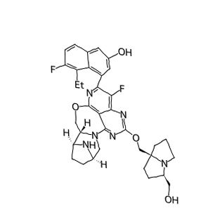 CCc1c(F)ccc2cc(O)cc(-c3nc4c5c(nc(OC[C@@]67CCCN6[C@@H](CO)CC7)nc5c3F)N3C[C@H]5CC[C@H](N5)[C@@H]3CO4)c12